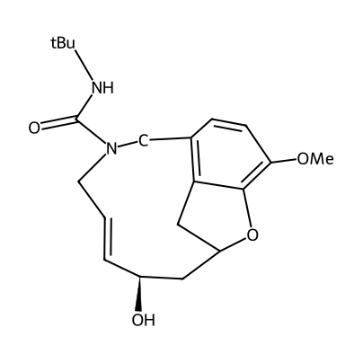 COc1ccc2c3c1OC(C3)C[C@@H](O)/C=C/CN(C(=O)NC(C)(C)C)C2